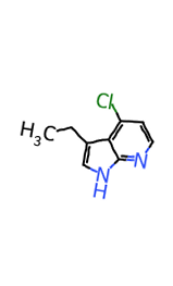 CCc1c[nH]c2nccc(Cl)c12